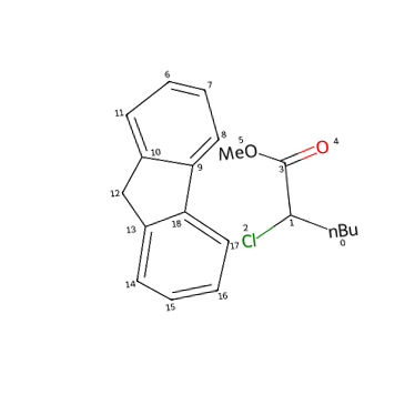 CCCCC(Cl)C(=O)OC.c1ccc2c(c1)Cc1ccccc1-2